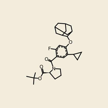 CC(C)(C)OC(=O)[C@@H]1CCCN1C(=O)c1cc(C2CC2)c(OC2C3CC4CC(C3)CC2C4)cc1F